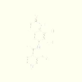 CCc1cnccc1C(=O)Nc1cc2c(c(C)c1C)NC(=O)CC2